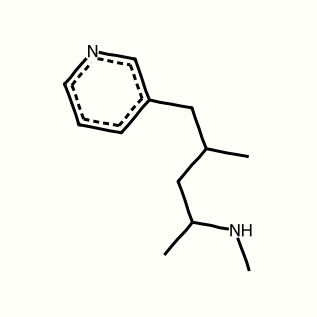 CNC(C)CC(C)Cc1cccnc1